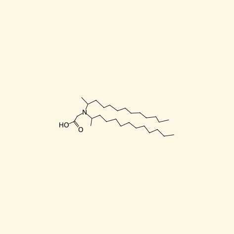 CCCCCCCCCCCC(C)N(CC(=O)O)C(C)CCCCCCCCCCC